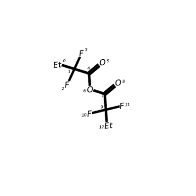 CCC(F)(F)C(=O)OC(=O)C(F)(F)CC